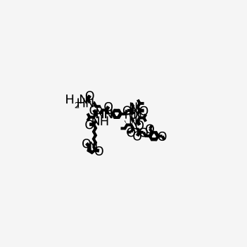 CC[C@H](C)[C@@H]([C@@H](CC(=O)OCc1ccc(OC)cc1OC)OC)N(C)C(=O)[C@@H](NC(=O)C(C(C)C)N(C)C(=O)OCc1ccc(NC(=O)[C@H](CCCNC(N)=O)NC(=O)[C@@H](NC(=O)CCCCCN2C(=O)C=CC2=O)C(C)C)cc1)C(C)C